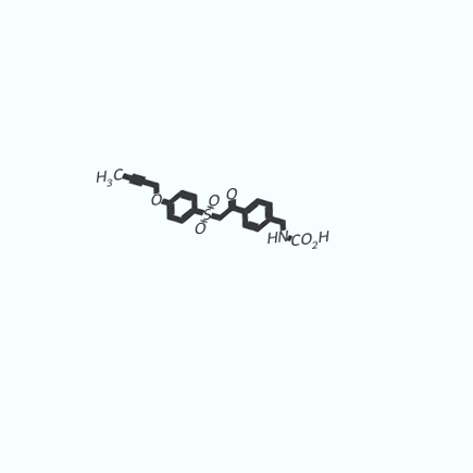 CC#CCOc1ccc(S(=O)(=O)CC(=O)c2ccc(CNC(=O)O)cc2)cc1